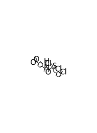 COC(=O)c1ccc([C@H](C)NC(=O)c2c(Cl)sc(Cl)c2Cc2cccc(Cl)c2)cc1